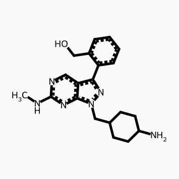 CNc1ncc2c(-c3ccccc3CO)nn(CC3CCC(N)CC3)c2n1